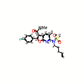 C=CCCCN(c1nc2oc(-c3ccc(F)cc3)c(C(=O)NC)c2cc1C)S(C)(=O)=O